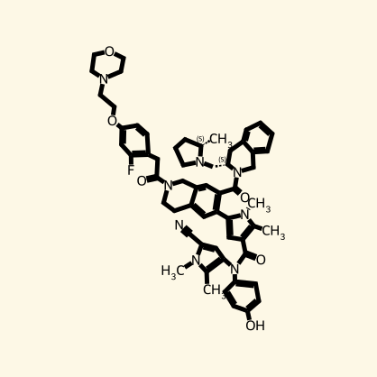 Cc1c(N(C(=O)c2cc(-c3cc4c(cc3C(=O)N3Cc5ccccc5C[C@H]3CN3CCC[C@@H]3C)CN(C(=O)Cc3ccc(OCCN5CCOCC5)cc3F)CC4)n(C)c2C)c2ccc(O)cc2)cc(C#N)n1C